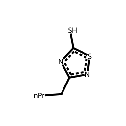 CCCCc1nsc(S)n1